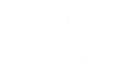 CC(C)(S)c1cccc(C(F)(F)F)c1